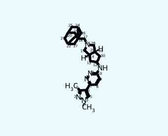 Cc1nn(C)cc1-c1ccc(NC2C[C@@H]3CN(CC45CC6CC(CC(C6)C4)C5)C[C@@H]3C2)nn1